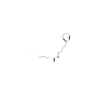 CCOC(=O)CCCOC(=O)C(=O)CCCCC1=CCCC=C1